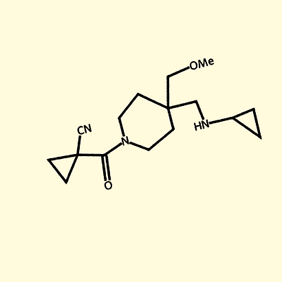 COCC1(CNC2CC2)CCN(C(=O)C2(C#N)CC2)CC1